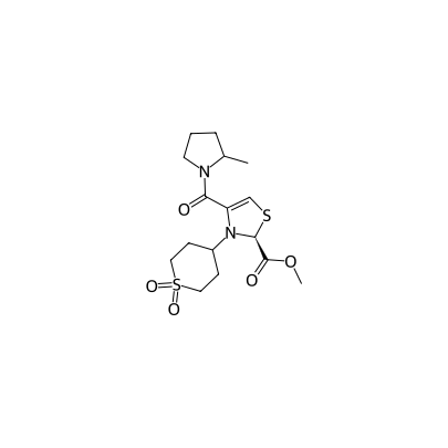 COC(=O)[C@@H]1SC=C(C(=O)N2CCCC2C)N1C1CCS(=O)(=O)CC1